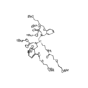 COCCOCCC(=O)NCCCC[C@@H](CN(Cc1ccccc1OCOCCOC)CP(=O)(OC(C)(C)C)OC(C)(C)C)N(Cc1ccccc1OCOCCOC)CP(=O)(OC(C)(C)C)OC(C)(C)C